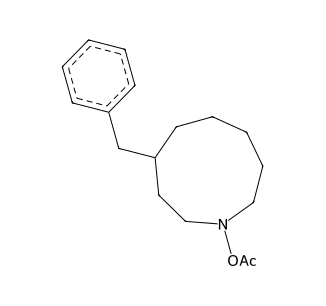 CC(=O)ON1CCCCCC(Cc2ccccc2)CC1